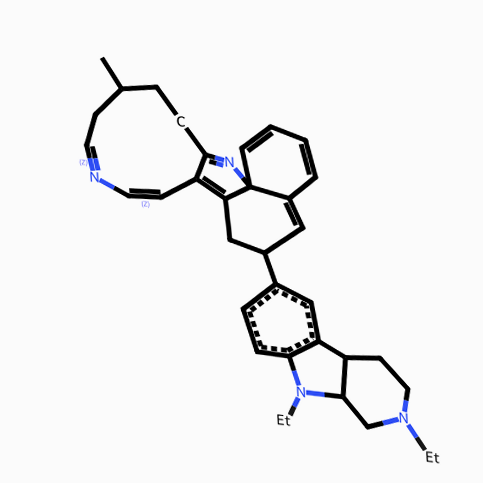 CCN1CCC2c3cc(C4C=C5C=CC=CC56N=C5CCC(C)C/C=N\C=C/C5=C6C4)ccc3N(CC)C2C1